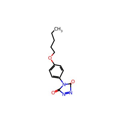 CCCCCOc1ccc(N2C(=O)N=NC2=O)cc1